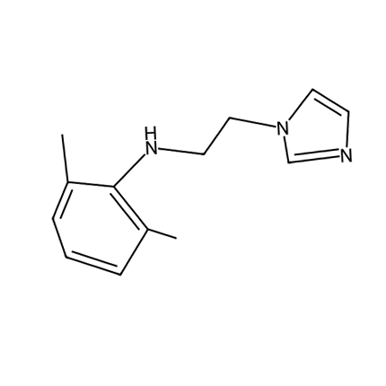 Cc1cccc(C)c1NCCn1ccnc1